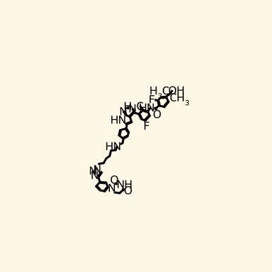 Cc1c(NC(=O)c2ccc(C(C)(C)O)cc2F)cc(F)cc1-c1ncnc2[nH]c(-c3ccc(CNCCCCCCn4cc(-c5cccc(N6CCC(=O)NC6=O)c5)nn4)cc3)cc12